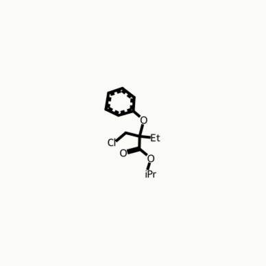 CCC(CCl)(Oc1ccccc1)C(=O)OC(C)C